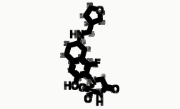 O=C1CN(c2c(O)cc3c(c2F)C[C@H](NCC2CCOC2)CC3)S(=O)(=O)N1